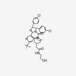 CCOc1cc(C(C)(C)C)ncc1C1=N[C@@](C)(c2ccc(Cl)cc2)[C@@](C)(c2ccc(Cl)cc2)N1C(=O)N1CCC(CC(=O)NCCO)CC1